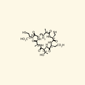 CC(C)[C@H](NC(=O)[C@H](C)NC(=O)[C@@H](NC(=O)[C@H](CC(=O)O)NC(=O)[C@H](CS)NC(=O)[C@H](C)N)[C@@H](C)O)C(=O)N[C@@H](CS)C(=O)O